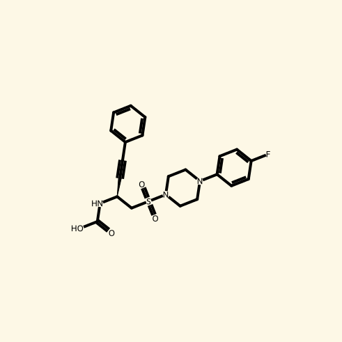 O=C(O)N[C@@H](C#Cc1ccccc1)CS(=O)(=O)N1CCN(c2ccc(F)cc2)CC1